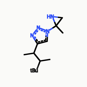 CC(c1cn(C2(C)CN2)nn1)C(C)C(C)(C)C